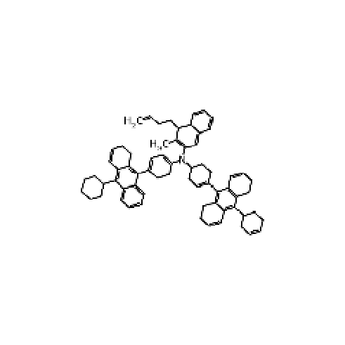 C=CCCC1C(C)=C(N(C2=CC=C(c3c4c(c(C5CCCCC5)c5ccccc35)C=CCC4)CC2)C2CC=C(c3c4c(c(C5CC=CCC5)c5c3CCC=C5)CCC=C4)CC2)C=C2C=CC=CC21